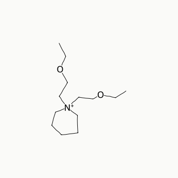 CCOCC[N+]1(CCOCC)CCCCC1